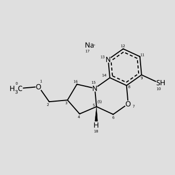 COCC1C[C@H]2COc3c(S)ccnc3N2C1.[Na]